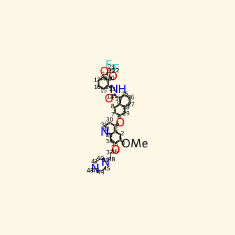 COc1cc2c(Oc3ccc4c(C(=O)Nc5cccc6c5OC(F)(F)O6)cccc4c3)ccnc2cc1OCCN1CCN(C)CC1